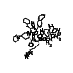 CC1(C)[C@@H]2C[C@H]3OB([C@H](CCCCN=[N+]=[N-])NC(=O)[C@@H]4C[C@@H](N5CCCCC5)CN4C(=O)[C@@H](CC4CCCCC4)NC(=O)c4ccc5ccccc5c4)O[C@@]3(C)[C@H]1C2